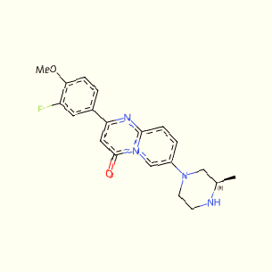 COc1ccc(-c2cc(=O)n3cc(N4CCN[C@H](C)C4)ccc3n2)cc1F